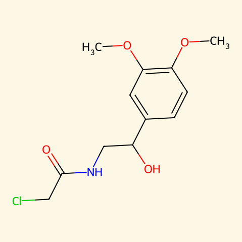 COc1ccc(C(O)CNC(=O)CCl)cc1OC